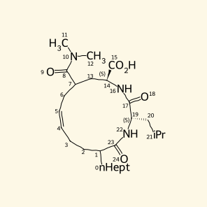 CCCCCCCC1CCC=CCC(C(=O)N(C)C)C[C@@H](C(=O)O)NC(=O)[C@H](CC(C)C)NC1=O